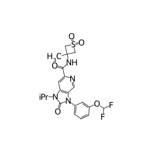 CC(C)n1c(=O)n(-c2cccc(OC(F)F)c2)c2cnc(C(=O)NC3(C)CS(=O)(=O)C3)cc21